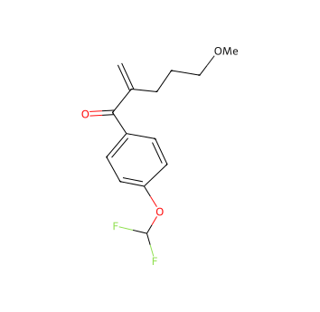 C=C(CCCOC)C(=O)c1ccc(OC(F)F)cc1